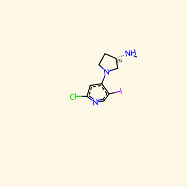 CN[C@H]1CCN(c2cc(Cl)ncc2I)C1